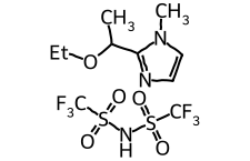 CCOC(C)c1nccn1C.O=S(=O)(NS(=O)(=O)C(F)(F)F)C(F)(F)F